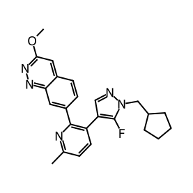 COc1cc2ccc(-c3nc(C)ccc3-c3cnn(CC4CCCC4)c3F)cc2nn1